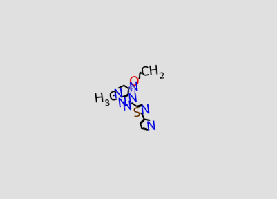 C=CCO/N=C1\CCN(C)c2nnc(-c3cnc(-c4cccnc4)s3)nc21